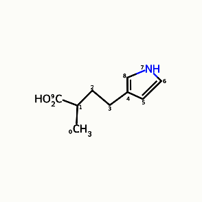 CC(CCc1cc[nH]c1)C(=O)O